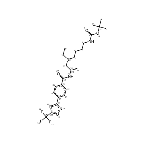 CCN(CCCCNC(=O)OC(C)(C)C)C[C@@H](C)NC(=O)c1ccc(-c2noc(C(F)(F)F)n2)cc1